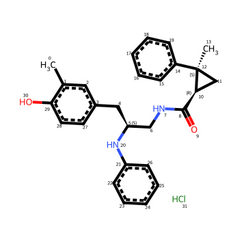 Cc1cc(C[C@@H](CNC(=O)[C@@H]2C[C@]2(C)c2ccccc2)Nc2ccccc2)ccc1O.Cl